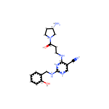 N#Cc1cnc(NCc2ccccc2O)nc1NCCC(=O)N1CC[C@H](N)C1